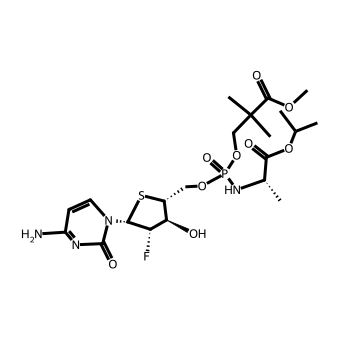 COC(=O)C(C)(C)COP(=O)(N[C@@H](C)C(=O)OC(C)C)OC[C@H]1S[C@@H](n2ccc(N)nc2=O)[C@@H](F)[C@@H]1O